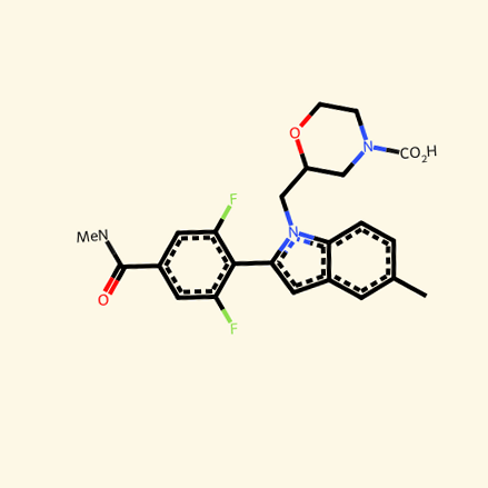 CNC(=O)c1cc(F)c(-c2cc3cc(C)ccc3n2CC2CN(C(=O)O)CCO2)c(F)c1